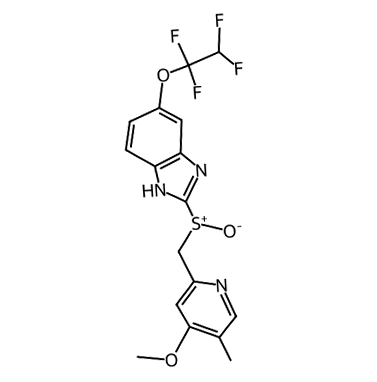 COc1cc(C[S+]([O-])c2nc3cc(OC(F)(F)C(F)F)ccc3[nH]2)ncc1C